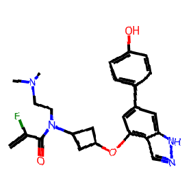 C=C(F)C(=O)N(CCN(C)C)C1CC(Oc2cc(-c3ccc(O)cc3)cc3[nH]ncc23)C1